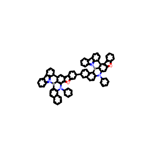 c1ccc(N2c3cc4oc5ccccc5c4c4c3B(c3c2ccc2cc(-c5ccc6c(c5)oc5c7c8c(cc56)-c5cccc6c9ccccc9n(c56)B8c5ccc6ccccc6c5N7c5ccccc5)ccc32)n2c3ccccc3c3cccc-4c32)cc1